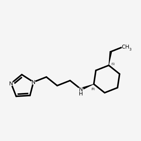 CC[C@H]1CCC[C@@H](NCCCn2ccnc2)C1